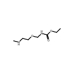 CCOC(=O)NCOCCNC